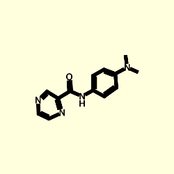 CN(C)c1ccc(NC(=O)c2cnccn2)cc1